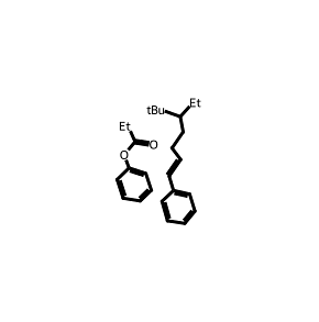 CCC(=O)Oc1ccccc1.CCC(CCC=Cc1ccccc1)C(C)(C)C